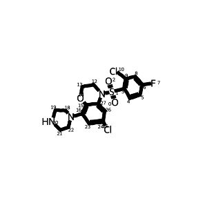 O=S(=O)(c1ccc(F)cc1Cl)N1CCOc2c(N3CCNCC3)cc(Cl)cc21